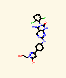 N=c1c2cnc(Nc3ccc(-c4cc(O)n(CCO)n4)cc3)nc2[nH]c(=O)n1-c1c(Cl)cccc1Cl